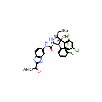 COC(=O)c1nc2cc(NC(=O)[C@@H]3N[C@@H](CC(C)(C)C)[C@](C#N)(c4ccc(Cl)cc4F)[C@H]3c3cccc(Cl)c3F)ccc2[nH]1